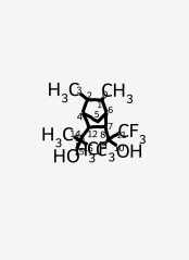 CC1C(C)C2CC1C(C(C)(O)C(F)(F)F)C2C(C)(O)C(F)(F)F